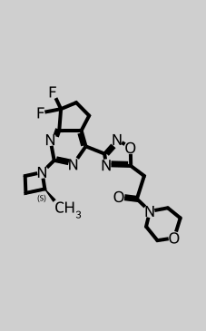 C[C@H]1CCN1c1nc(-c2noc(CC(=O)N3CCOCC3)n2)c2c(n1)C(F)(F)CC2